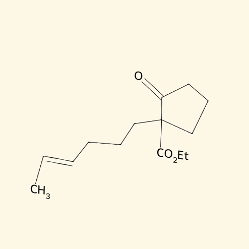 CC=CCCCC1(C(=O)OCC)CCCC1=O